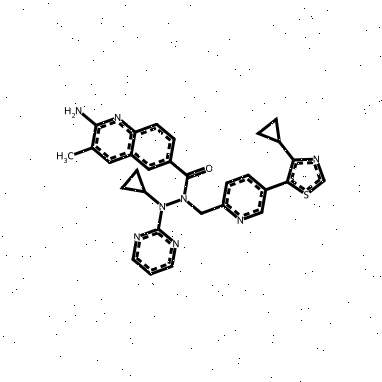 Cc1cc2cc(C(=O)N(Cc3ccc(-c4scnc4C4CC4)cn3)N(c3ncccn3)C3CC3)ccc2nc1N